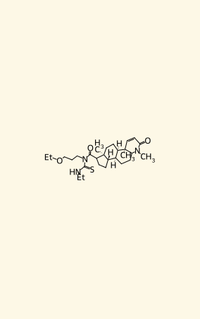 CCNC(=S)N(CCCOCC)C(=O)C1CC[C@H]2[C@@H]3CCC4N(C)C(=O)C=C[C@]4(C)[C@@H]3CC[C@]12C